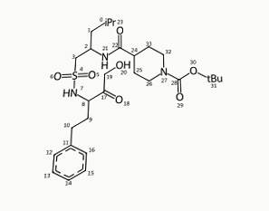 CC(C)CC(CS(=O)(=O)NC(CCc1ccccc1)C(=O)CO)NC(=O)C1CCN(C(=O)OC(C)(C)C)CC1